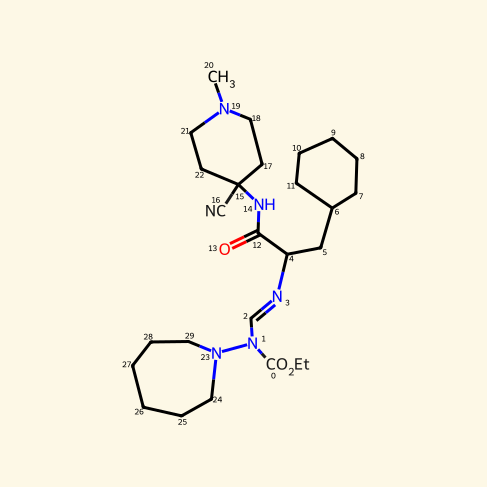 CCOC(=O)N(/C=N/C(CC1CCCCC1)C(=O)NC1(C#N)CCN(C)CC1)N1CCCCCC1